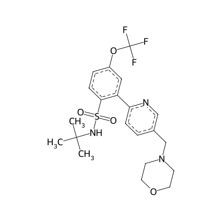 CC(C)(C)NS(=O)(=O)c1ccc(OC(F)(F)F)cc1-c1ccc(CN2CCOCC2)cn1